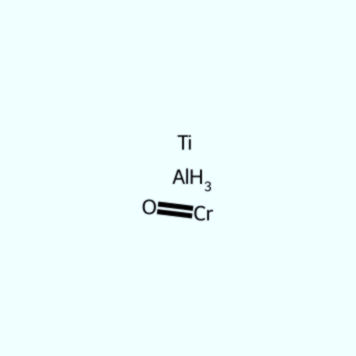 [AlH3].[O]=[Cr].[Ti]